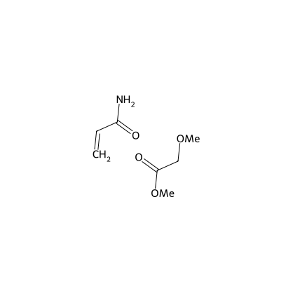 C=CC(N)=O.COCC(=O)OC